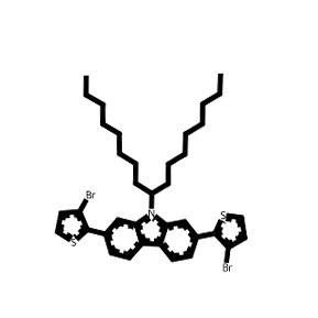 CCCCCCCCC(CCCCCCCC)n1c2cc(-c3sccc3Br)ccc2c2ccc(-c3sccc3Br)cc21